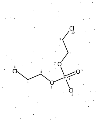 O=P(Cl)(OCCCl)OCCCl